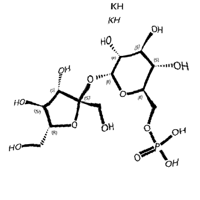 O=P(O)(O)OC[C@H]1O[C@H](O[C@]2(CO)O[C@H](CO)[C@@H](O)[C@@H]2O)[C@H](O)[C@@H](O)[C@@H]1O.[KH].[KH]